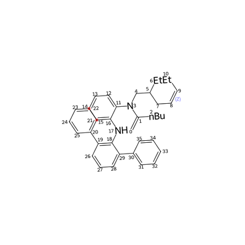 C=C(CCCC)N(CC(CC)C/C=C\CC)c1ccccc1Nc1c(-c2ccccc2)cccc1-c1ccccc1